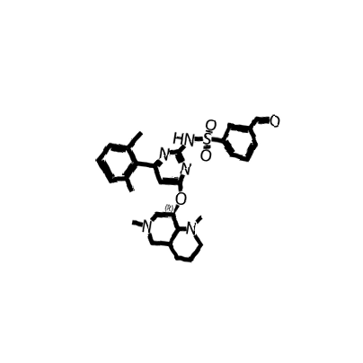 Cc1cccc(C)c1-c1cc(O[C@@H]2CN(C)CC3CCCN(C)C32)nc(NS(=O)(=O)c2cccc(C=O)c2)n1